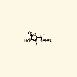 C[C@@H]1[C@@H]([C@H](C)N=[N+]=[N-])OC(=O)[C@H]1O